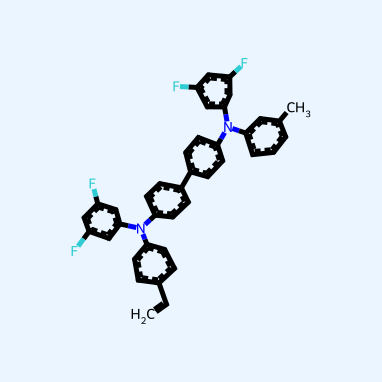 C=Cc1ccc(N(c2ccc(-c3ccc(N(c4cccc(C)c4)c4cc(F)cc(F)c4)cc3)cc2)c2cc(F)cc(F)c2)cc1